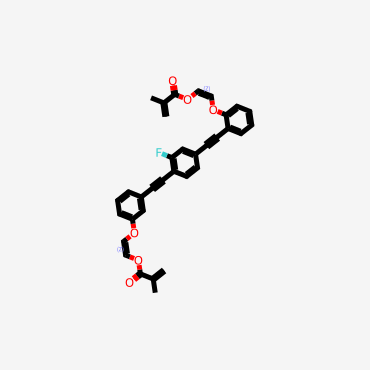 C=C(C)C(=O)O/C=C\Oc1cccc(C#Cc2ccc(C#Cc3ccccc3O/C=C\OC(=O)C(=C)C)cc2F)c1